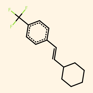 FC(F)(F)c1ccc(C=CC2CCCCC2)cc1